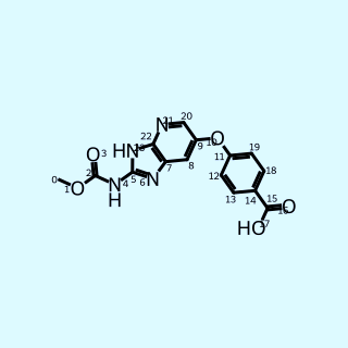 COC(=O)Nc1nc2cc(Oc3ccc(C(=O)O)cc3)cnc2[nH]1